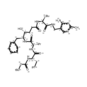 CC[C@H](C)[C@H](NC(=O)CC[C@@H](O)[C@H](Cc1ccccc1)NC(=O)[C@@H](NC(=O)[C@H](CC(C)C)NC(=O)OC(C)(C)C)C(C)C)C(=O)NCc1cnc(C)nc1N